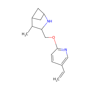 C=Cc1ccc(OCC2NC3CC(C3)C2C)nc1